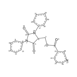 O=C(OCC1C(=O)N(c2ccccc2)C(=O)N1c1ccccc1)c1cccnc1